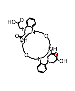 O=C(O)CN(CC(=O)O)c1ccccc1N1CCOCCOCCN(c2ccccc2N(CC(=O)O)CC(=O)O)CCOCCOCC1